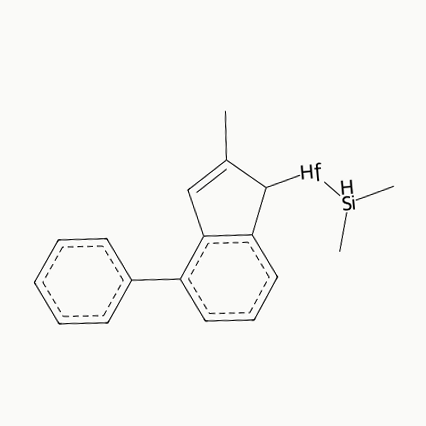 CC1=Cc2c(-c3ccccc3)cccc2[CH]1[Hf][SiH](C)C